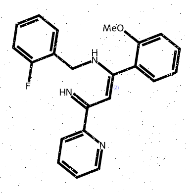 COc1ccccc1/C(=C/C(=N)c1ccccn1)NCc1ccccc1F